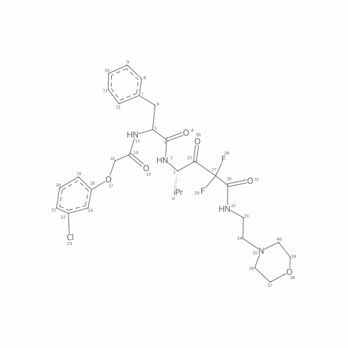 CC(C)[C@H](NC(=O)C(Cc1ccccc1)NC(=O)COc1cccc(Cl)c1)C(=O)C(F)(F)C(=O)NCCN1CCOCC1